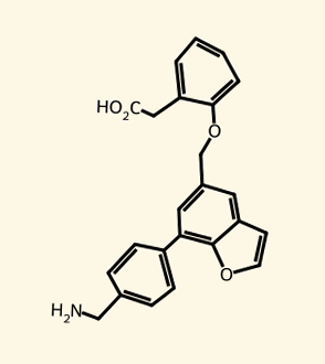 NCc1ccc(-c2cc(COc3ccccc3CC(=O)O)cc3ccoc23)cc1